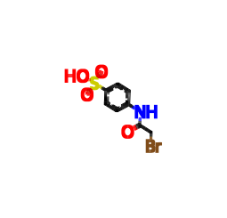 O=C(CBr)Nc1ccc(S(=O)(=O)O)cc1